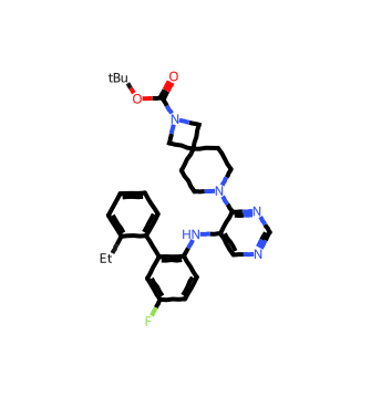 CCc1ccccc1-c1cc(F)ccc1Nc1cncnc1N1CCC2(CC1)CN(C(=O)OC(C)(C)C)C2